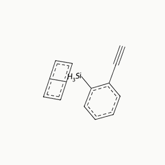 C#Cc1ccccc1[SiH3].c1cc2ccc1-2